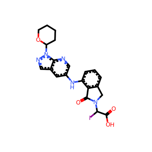 O=C(O)C(I)N1Cc2cccc(Nc3cnc4c(cnn4C4CCCCO4)c3)c2C1=O